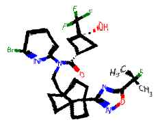 CC(C)(F)c1nc(C23CCC4(CN(c5cccc(Br)n5)C(=O)[C@H]5C[C@](O)(C(F)(F)F)C5)CCC42CC3)no1